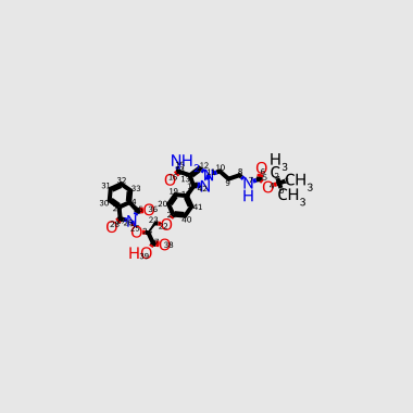 CC(C)(C)OC(=O)NCCCn1cc(C(N)=O)c(-c2ccc(OC[C@H](ON3C(=O)c4ccccc4C3=O)C(=O)O)cc2)n1